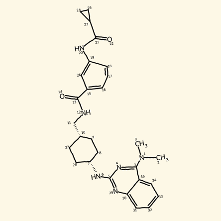 CN(C)c1nc(N[C@H]2CC[C@@H](CNC(=O)c3cccc(NC(=O)C4CC4)c3)CC2)nc2ccccc12